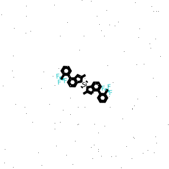 CC1=Cc2c(-c3ccccc3C(F)(F)F)cccc2C1[Si](C)(C)C1C(C)=Cc2c(-c3ccccc3C(F)(F)F)cccc21